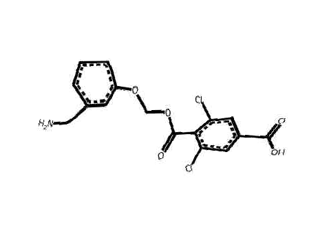 NCc1cccc(OCOC(=O)c2c(Cl)cc(C(=O)O)cc2Cl)c1